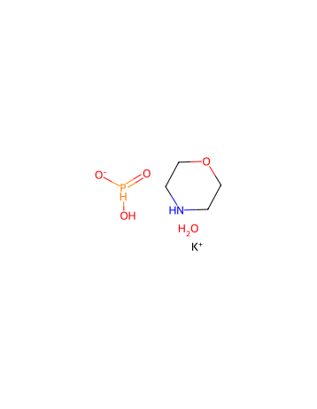 C1COCCN1.O.O=[PH]([O-])O.[K+]